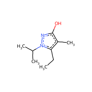 CCc1c(C)c(O)nn1C(C)C